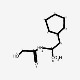 O=C(CO)NC(CC1CCCCC1)C(=O)O